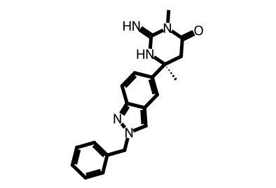 CN1C(=N)N[C@](C)(c2ccc3nn(Cc4ccccc4)cc3c2)CC1=O